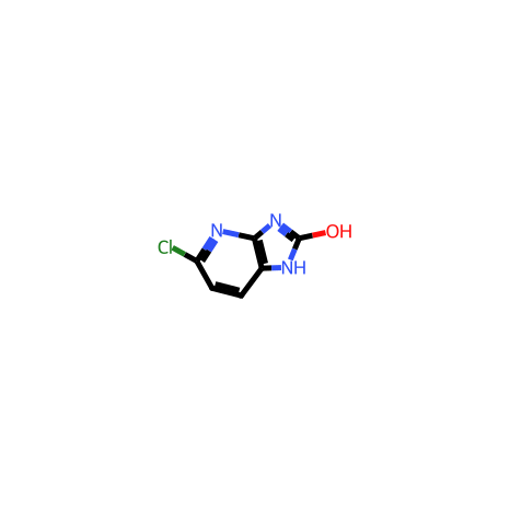 Oc1nc2nc(Cl)ccc2[nH]1